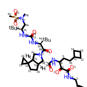 C=CCNC(=O)C(=O)C(CCC1CCC1)NC(=O)[C@@H]1[C@H]2CCC3(CC3)[C@H]2CN1C(=O)[C@@H](NC(=O)N[C@H](CN(C)S(C)(=O)=O)C(C)(C)C)C(C)(C)C